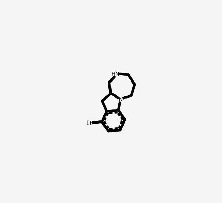 CCc1cccc2c1CC1CNCCCN21